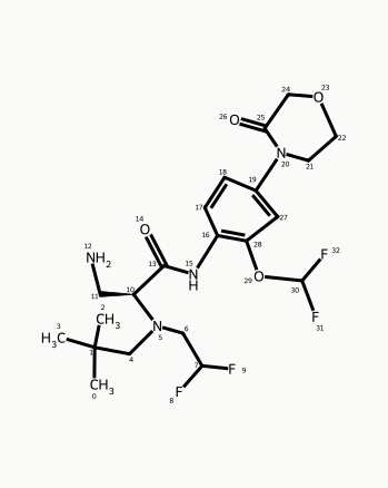 CC(C)(C)CN(CC(F)F)[C@@H](CN)C(=O)Nc1ccc(N2CCOCC2=O)cc1OC(F)F